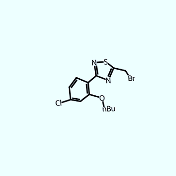 CCCCOc1cc(Cl)ccc1-c1nsc(CBr)n1